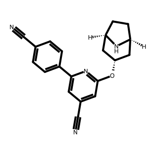 N#Cc1ccc(-c2cc(C#N)cc(O[C@@H]3C[C@H]4CC[C@@H](C3)N4)n2)cc1